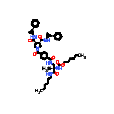 CCCCCCNC(=O)[C@@]([SiH3])(CNC(=O)c1ccc(C(=O)N2C[C@@H](C(=O)N[C@H]3C[C@@H]3c3ccccc3)[C@H](C(=O)N[C@H]3C[C@@H]3c3ccccc3)C2)cc1)NC(=O)OCCCCCC